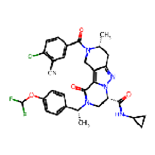 C[C@@H]1Cc2nn3c(c2CN1C(=O)c1ccc(Cl)c(C#N)c1)C(=O)N([C@H](C)c1ccc(OC(F)F)cc1)C[C@H]3C(=O)NC1CC1